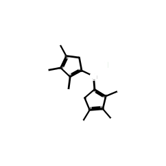 CC1=C(C)C(C)=[C]([Zr][C]2=C(C)C(C)=C(C)C2)C1.Cl